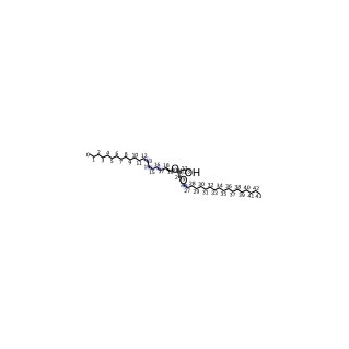 CCCCCCCCCCCC\C=C/C=C\C=C\C=CO[C@@H](CO)CO/C=C\CCCCCCCCCCCCCCCC